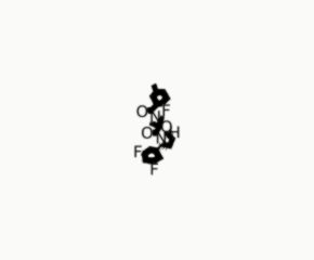 Cc1ccc(F)c(C(=O)N2CC3(C2)O[C@@H]2CC[C@@H](c4cc(F)cc(F)c4)N2C3=O)c1